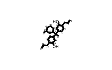 C=CCc1ccc(C(C)(c2ccc(CC=C)c(O)c2)C2CCCC(C)C2)cc1O